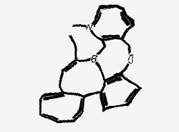 CC1=Cc2ccccc2-c2cccc3c2B1c1c(ccc[n+]1C)O3